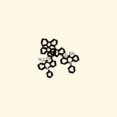 CC1(C)c2ccccc2N(c2ccccc2)c2cccc(-c3cccc4c(-c5cccc6c5C5(c7ccccc7-c7ccccc75)c5ccccc5-6)c5cccc(-c6cccc7c6C(C)(C)c6ccccc6N7c6ccccc6)c5cc34)c21